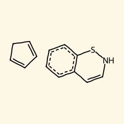 C1=CCC=C1.C1=Cc2ccccc2SN1